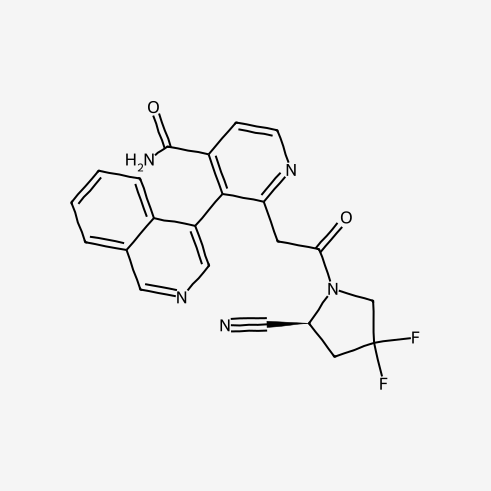 N#C[C@@H]1CC(F)(F)CN1C(=O)Cc1nccc(C(N)=O)c1-c1cncc2ccccc12